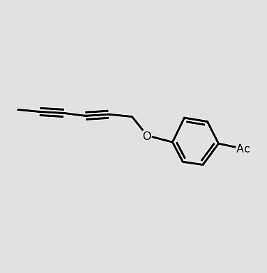 CC#CC#CCOc1ccc(C(C)=O)cc1